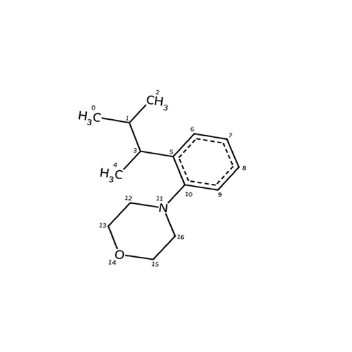 CC(C)C(C)c1ccccc1N1CCOCC1